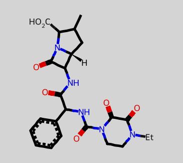 CCN1CCN(C(=O)NC(C(=O)NC2C(=O)N3C(C(=O)O)C(C)C[C@H]23)c2ccccc2)C(=O)C1=O